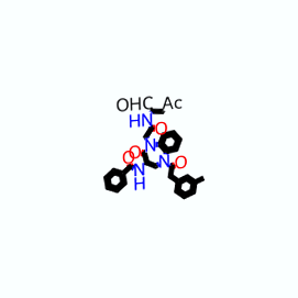 CC(=O)C[C@@H](C=O)NC(=O)CN1C(=O)[C@@H](NC(=O)c2ccccc2)CN(C(=O)Cc2cccc(C)c2)c2ccccc21